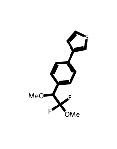 COC(c1ccc(-c2ccsc2)cc1)C(F)(F)OC